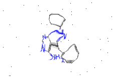 Nc1ncnc2c1c(-c1ccccc1)nn2C1CCCC1